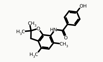 Cc1cc(C)c(NC(=O)c2ccc(O)cc2)c2c1CC(C)(C)O2